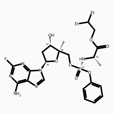 CCC(CC)COC(=O)[C@H](C)N[P@](=O)(OC[C@@]1(C)O[C@@H](n2cnc3c(N)nc(F)nc32)C[C@@H]1O)Oc1ccccc1